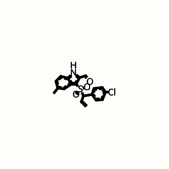 C=CC(c1ccc(Cl)cc1)S(=O)(=O)c1c(C=O)[nH]c2ccc(C)cc12